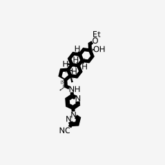 CCOC[C@@]1(O)CC[C@H]2[C@H](CC[C@@H]3[C@@H]2CC[C@]2(C)[C@@H]([C@@H](C)Nc4ccc(-n5ccc(C#N)n5)cn4)CC[C@@H]32)C1